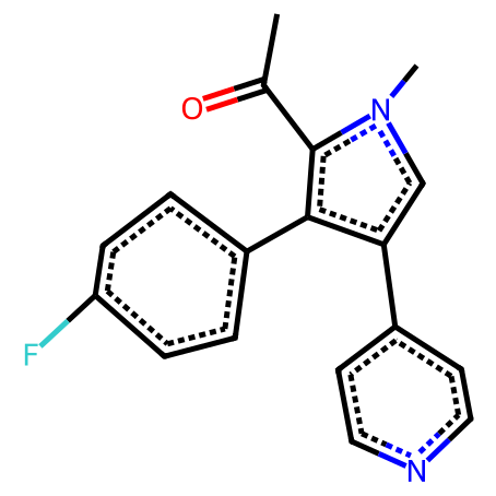 CC(=O)c1c(-c2ccc(F)cc2)c(-c2ccncc2)cn1C